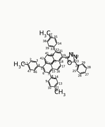 Cc1ccc(-c2cc(-c3ccc(C)cc3)c3ccc4c(-c5nnc(-c6ccccc6)o5)cc(-c5ccc(C)cc5)c5ccc2c3c54)cc1